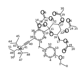 CCOc1ccc(Cc2cc(C3(OOC)O[C@H](COC(C)=O)[C@@H](OC(C)=O)[C@H](OC(C)=O)[C@H]3OC(C)=O)ccc2C#C[Si](C(C)C)(C(C)C)C(C)C)cc1